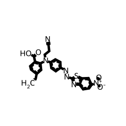 C=Cc1ccc(C(=O)O)c(N(CCC#N)c2ccc(N=Nc3nc4ccc([N+](=O)[O-])cc4s3)cc2)c1